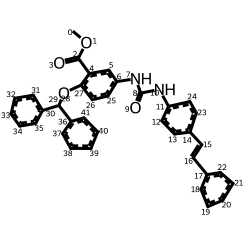 COC(=O)c1cc(NC(=O)Nc2ccc(C=Cc3ccccc3)cc2)ccc1OC(c1ccccc1)c1ccccc1